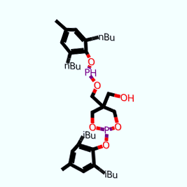 CCCCc1cc(C)cc(CCCC)c1OPOCC1(CO)COP(Oc2c(C(C)CC)cc(C)cc2C(C)CC)OC1